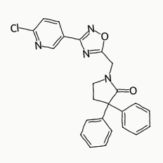 O=C1N(Cc2nc(-c3ccc(Cl)nc3)no2)CCC1(c1ccccc1)c1ccccc1